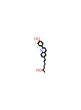 CC(O)CCCC=Cc1ccc2nc(-c3ccc(O)c(F)c3F)ccc2c1